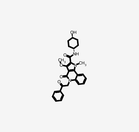 COc1c(C(=O)N[C@H]2CC[C@H](O)CC2)n(C)c2c1c(=O)n(CC(=O)c1ccccc1)c1ccccc21